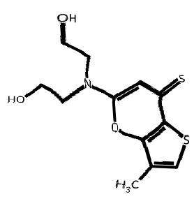 Cc1csc2c(=S)cc(N(CCO)CCO)oc12